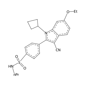 CCCNS(=O)(=O)c1ccc(-c2c(C#N)c3ccc(OCC)cc3n2C2CCC2)cc1